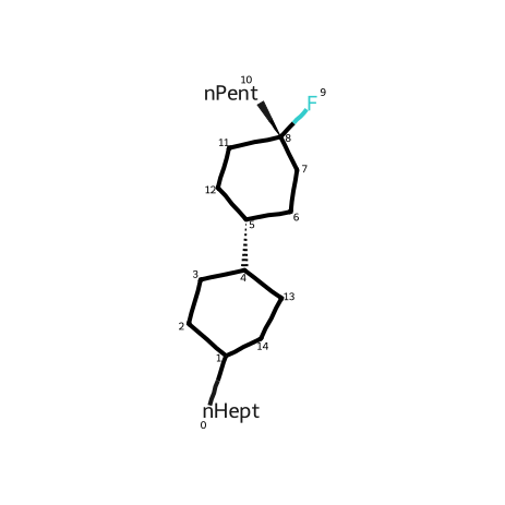 CCCCCCCC1CCC([C@H]2CC[C@](F)(CCCCC)CC2)CC1